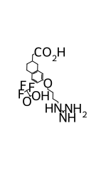 N=C(N)NCCCCOc1ccc2c(c1)CC(CC(=O)O)CC2.O=C(O)C(F)(F)F